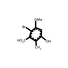 COc1cc(O)c(C)c(C(=O)O)c1Br